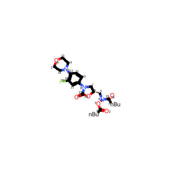 CCCCC(=O)ON(C[C@H]1CN(c2ccc(N3CCOCC3)c(F)c2)C(=O)O1)C(=O)CCCC